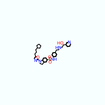 O=S(=O)(Nc1ccc(CCNCC(O)c2cccnc2)cc1)c1ccc2c(c1)CCN2c1ncc(CCCC2CCCC2)o1